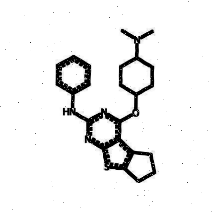 CN(C)C1CCC(Oc2nc(Nc3ccccc3)nc3sc4c(c23)CCC4)CC1